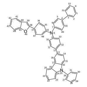 c1ccc(-c2ccc(N(c3ccc(-c4ccc5c(c4)c4ccccc4n5-c4ccccc4)cc3)c3ccc(-c4cc5ccccc5o4)cc3)cc2)cc1